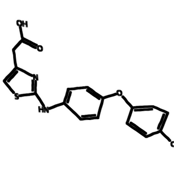 O=C(O)Cc1csc(Nc2ccc(Oc3ccc(Cl)cc3)cc2)n1